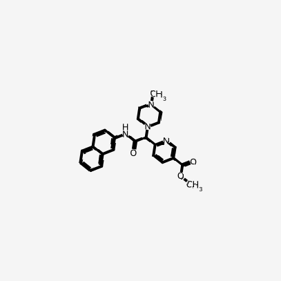 COC(=O)c1ccc(C(C(=O)Nc2ccc3ccccc3c2)N2CCN(C)CC2)nc1